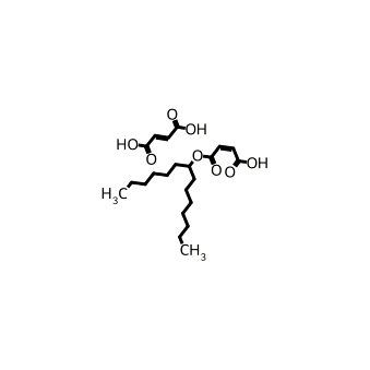 CCCCCCCC(CCCCCC)OC(=O)/C=C\C(=O)O.O=C(O)/C=C/C(=O)O